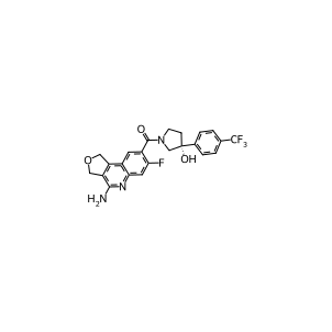 Nc1nc2cc(F)c(C(=O)N3CC[C@@](O)(c4ccc(C(F)(F)F)cc4)C3)cc2c2c1COC2